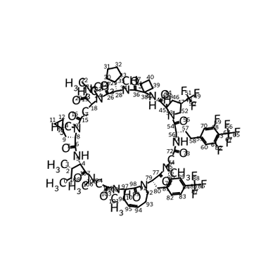 CC[C@H](C)[C@@H]1NC(=O)[C@H](CC2CC2)N(C)C(=O)C[C@@H](C(=O)N(C)C)N(C)C(=O)[C@H](C2CCCC2)N(C)C(=O)C2(CCC2)NC(=O)[C@@H]2C[C@@H](C(F)(F)F)CN2C(=O)[C@H](CCc2cc(F)c(C(F)(F)F)c(F)c2)NC(=O)CN(C)C(=O)[C@H](Cc2ccc(C(F)(F)F)cc2)N2CC/C=C\C[C@@H](C2=O)N(C)C(=O)CN(C)C1=O